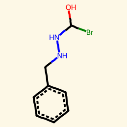 OC(Br)NNCc1ccccc1